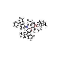 CC(C)(C)c1cccc2c1oc1c(-c3ccccc3N(c3ccc4c(c3)C(C)(C)c3ccccc3-4)c3ccc4c(c3)C3(CCCC3)c3ccccc3-4)cccc12